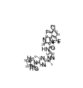 Cc1nc([C@@H](C)n2cc(NC(=O)c3nc(-c4c(C(F)F)ccc(Cl)c4F)cnc3C)cn2)ncc1N1C[C@H]2CC[C@H]2C1=O